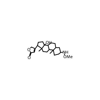 CONC1CCC2(C)C(CCC3C2CCC2(C)C(C4=CC(=O)OC4)CCC32O)C1